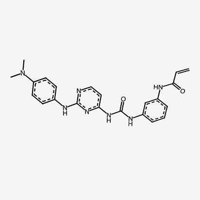 C=CC(=O)Nc1cccc(NC(=O)Nc2ccnc(Nc3ccc(N(C)C)cc3)n2)c1